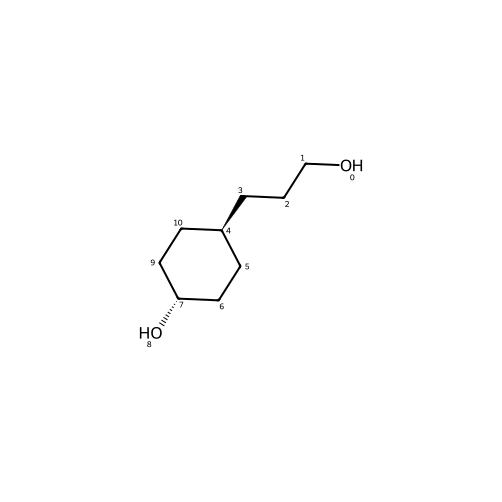 OCCC[C@H]1CC[C@H](O)CC1